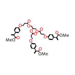 C=C(C(=O)OC)c1ccc(OCCC(=O)OCC(COC(=O)CCOc2ccc(C(=C)C(=O)OC)cc2)OC(=O)CCOc2ccc(C(=C)C(=O)OC)cc2)cc1